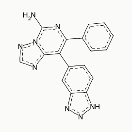 Nc1nc(-c2ccccc2)c(-c2ccc3[nH]nnc3c2)c2ncnn12